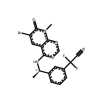 C[C@@H](Nc1ncnc2c1cc(Br)c(=O)n2C)c1cccc(C(F)(F)C#N)c1